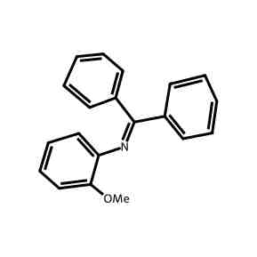 COc1ccccc1N=C(c1ccccc1)c1ccccc1